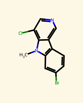 Cn1c2cc(Br)ccc2c2cncc(Cl)c21